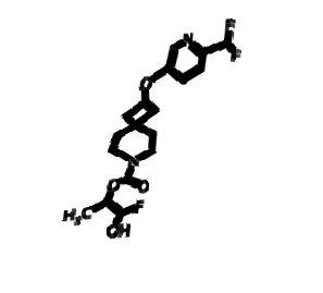 CC(OC(=O)N1CCC2(CC1)CC(Oc1ccc(C(F)F)nc1)C2)C(O)F